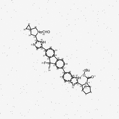 CC(C)(C)OC(=O)N1C2CCC(C2)C1c1nc2ccc(-c3ccc4c(c3)C(F)(F)c3cc(-c5cnc(C6CC7(CC7)CN6C=O)[nH]5)ccc3-4)cc2[nH]1